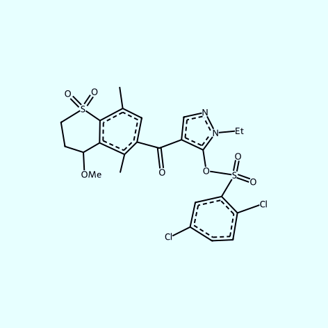 CCn1ncc(C(=O)c2cc(C)c3c(c2C)C(OC)CCS3(=O)=O)c1OS(=O)(=O)c1cc(Cl)ccc1Cl